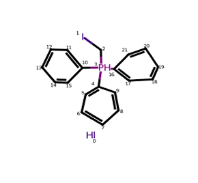 I.IC[PH](c1ccccc1)(c1ccccc1)c1ccccc1